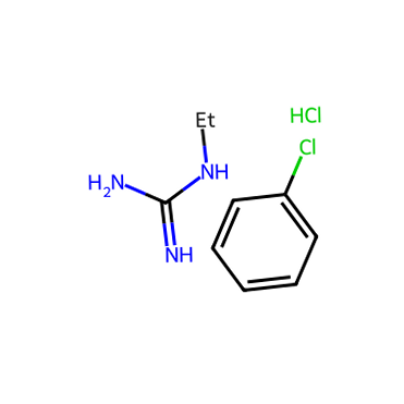 CCNC(=N)N.Cl.Clc1ccccc1